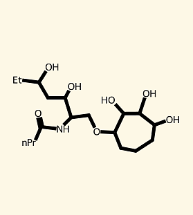 CCCC(=O)NC(COC1CCCC(O)C(O)C1O)C(O)CC(O)CC